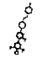 C[C@H]1CC[C@H](CC[C@H]2CC[C@H](c3ccc(-c4cc(F)c(Cl)c(F)c4)c(F)c3)CC2)CC1